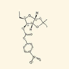 CC[C@H]1O[C@@H]2OC(C)(C)O[C@@H]2[C@H]1OC(=O)Oc1ccc([N+](=O)[O-])cc1